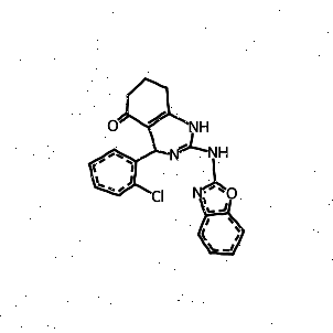 O=C1CCCC2=C1C(c1ccccc1Cl)N=C(Nc1nc3ccccc3o1)N2